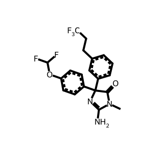 CN1C(=O)C(c2ccc(OC(F)F)cc2)(c2cccc(CCC(F)(F)F)c2)N=C1N